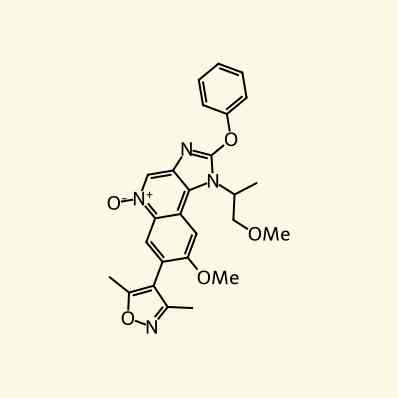 COCC(C)n1c(Oc2ccccc2)nc2c[n+]([O-])c3cc(-c4c(C)noc4C)c(OC)cc3c21